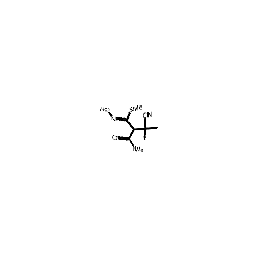 CNC(=O)C(C(=NO)SC)C(C)(C)C#N